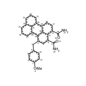 COc1ccc(Cc2cc(C(N)=O)c3c(C(N)=O)ccc4c5cccc6cccc(c2c34)c65)cc1